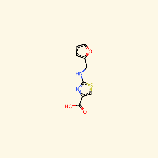 O=C(O)c1csc(NCc2ccco2)n1